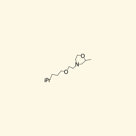 CC(C)CCCOCCN1CCOC(C)C1